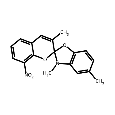 CC1=Cc2cccc([N+](=O)[O-])c2OC12Oc1ccc(C)cc1N2C